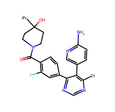 CCc1ncnc(-c2ccc(C(=O)N3CCC(O)(C(C)C)CC3)c(F)c2)c1-c1ccc(N)nc1